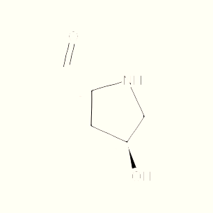 O=C[C@H]1C[C@H](O)CN1